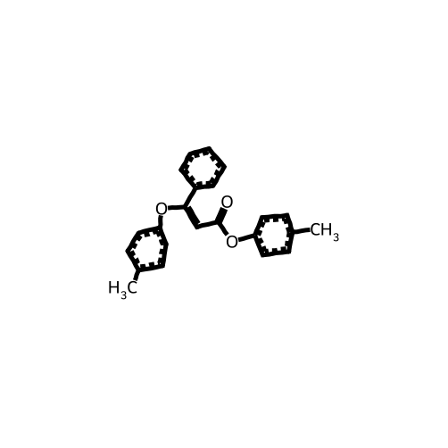 Cc1ccc(OC(=O)/C=C(/Oc2ccc(C)cc2)c2ccccc2)cc1